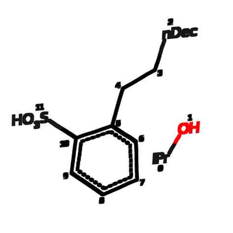 CC(C)O.CCCCCCCCCCCCc1ccccc1S(=O)(=O)O